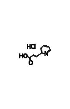 Cl.O=C(O)C=Cc1ccccn1